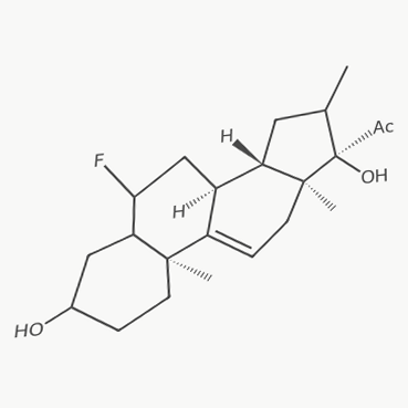 CC(=O)[C@@]1(O)C(C)C[C@H]2[C@@H]3CC(F)C4CC(O)CC[C@]4(C)C3=CC[C@@]21C